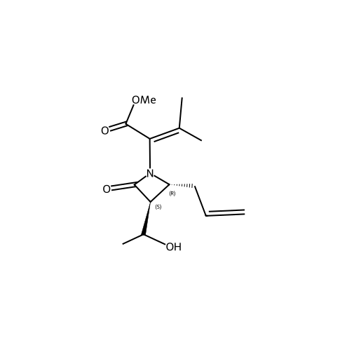 C=CC[C@@H]1[C@@H](C(C)O)C(=O)N1C(C(=O)OC)=C(C)C